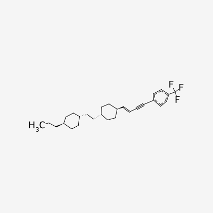 CCC[C@H]1CC[C@H](CC[C@H]2CC[C@H](C=CC#Cc3ccc(C(F)(F)F)cc3)CC2)CC1